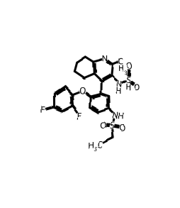 CCS(=O)(=O)Nc1ccc(Oc2ccc(F)cc2F)c(-c2c3c(nc(C)c2N[SH](=O)=O)CCCC3)c1